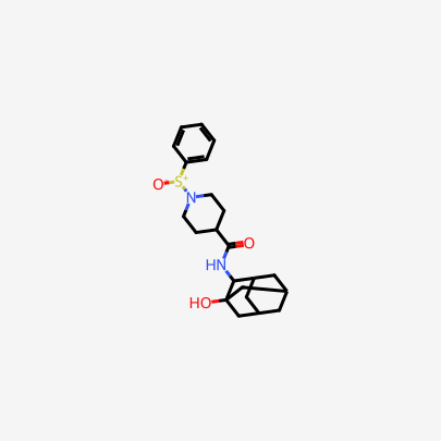 O=C(NC1C2CC3CC(C2)CC1(O)C3)C1CCN([S+]([O-])c2ccccc2)CC1